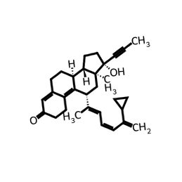 C=C(/C=C\C=C(/C)[C@H]1C[C@@]2(C)[C@@H](CC[C@@]2(O)C#CC)[C@@H]2CCC3=CC(=O)CCC3=C21)C1CC1